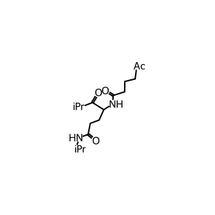 CC(=O)CCCC(=O)NC(CCC(=O)NC(C)C)C(=O)C(C)C